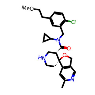 COCCc1ccc(Cl)c(CN(C(=O)[C@H]2CNCC[C@@]23OCc2cnc(C)cc23)C2CC2)c1